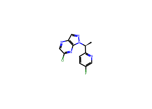 C[C@@H](c1ccc(F)cn1)n1ncc2ncc(Cl)nc21